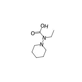 CCN(C(=O)O)N1CCCCC1